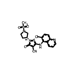 CS(=O)(=O)N1CC[C@@H](n2sc(Nc3c(Cl)ccc4ncccc34)c(C#N)c2=O)C1